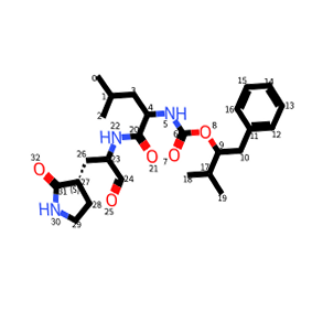 CC(C)CC(NC(=O)OC(Cc1ccccc1)C(C)C)C(=O)NC(C=O)C[C@@H]1CCNC1=O